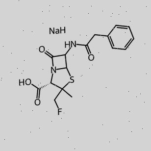 CC1(CF)SC2C(NC(=O)Cc3ccccc3)C(=O)N2[C@H]1C(=O)O.[NaH]